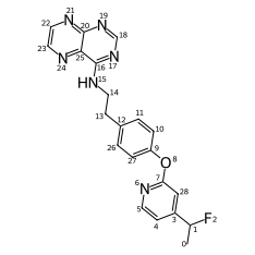 CC(F)c1ccnc(Oc2ccc(CCNc3ncnc4nccnc34)cc2)c1